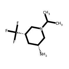 CC(C)N1C[C@H](N)C[C@H](C(F)(F)F)C1